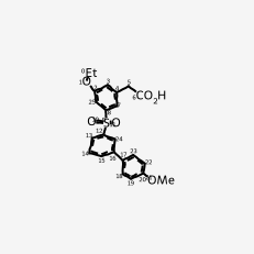 CCOc1cc(CC(=O)O)cc(S(=O)(=O)c2cccc(-c3ccc(OC)cc3)c2)c1